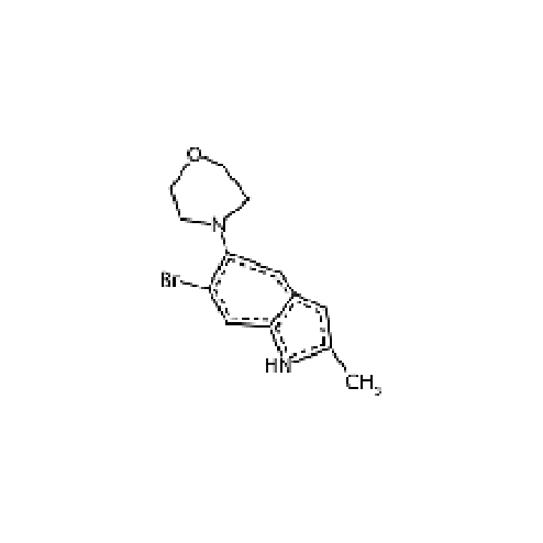 Cc1cc2cc(N3CCOCC3)c(Br)cc2[nH]1